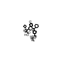 COc1ccc2c(c1)C=C(c1c(C(=O)O)cnn1C1CCC1)Cn1c-2c(C2CCCCC2)c2ccc(C(=O)NS(=O)(=O)N(C)C)cc21